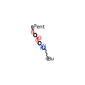 CCCCC/C=C/Oc1ccc(C(=O)Oc2ccc(-c3ncc(CCCCC[C@@H](C)CC)cn3)cc2)cc1